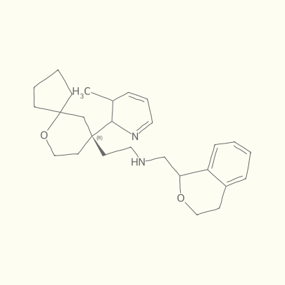 CC1C=CC=NC1[C@]1(CCNCC2OCCc3ccccc32)CCOC2(CCCC2)C1